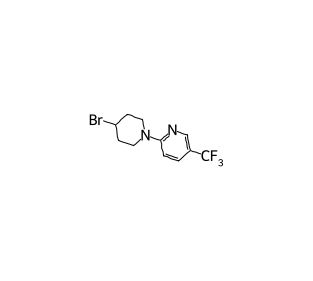 FC(F)(F)c1ccc(N2CCC(Br)CC2)nc1